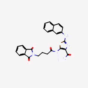 NC(=O)c1nc(Nc2ccc3ccccc3c2)sc1NC(=O)CCCN1C(=O)c2ccccc2C1=O